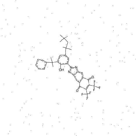 CC(C)(C)CC(C)(C)c1cc(-n2nc3cc4c(cc3n2)C(=O)C(C(F)(F)F)=C(C(F)(F)F)C4=O)c(O)c(C(C)(C)c2ccccc2)c1